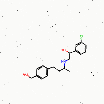 CC(CCc1ccc(CO)cc1)NCC(O)c1cccc(Cl)c1